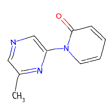 Cc1cncc(-n2ccccc2=O)n1